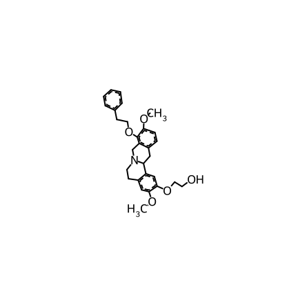 COc1cc2c(cc1OCCO)C1Cc3ccc(OC)c(OCCc4ccccc4)c3CN1CC2